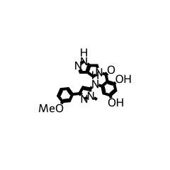 COc1cccc(-c2cc(Nc3cc(O)cc(O)c3C(=O)N3Cc4cn[nH]c4C3)n(C)n2)c1